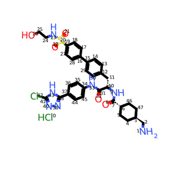 Cl.NC[C@H]1CC[C@H](C(=O)N[C@@H](Cc2ccc(-c3ccc(S(=O)(=O)NCCO)cc3)cc2)C(=O)Nc2ccc(-c3nnc(Cl)[nH]3)cc2)CC1